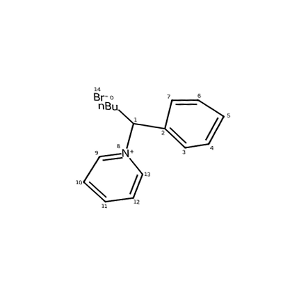 CCCCC(c1ccccc1)[n+]1ccccc1.[Br-]